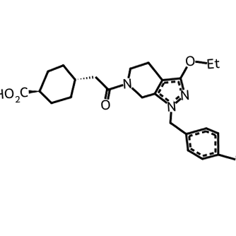 CCOc1nn(Cc2ccc(F)cc2)c2c1CCN(C(=O)C[C@H]1CC[C@H](C(=O)O)CC1)C2